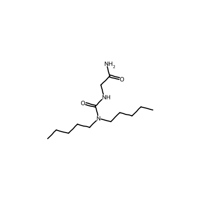 CCCCCN(CCCCC)C(=O)NCC(N)=O